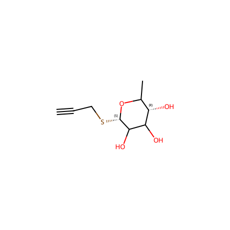 C#CCS[C@@H]1OC(C)[C@H](O)C(O)C1O